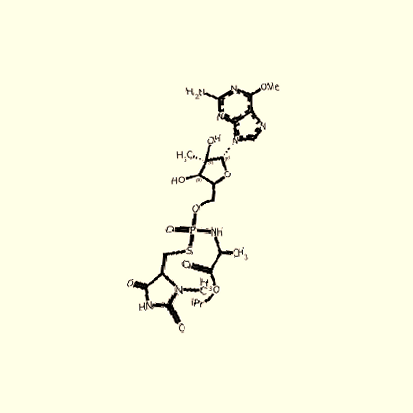 COc1nc(N)nc2c1ncn2[C@@H]1OC(COP(=O)(NC(C)C(=O)OC(C)C)SCC2C(=O)NC(=O)N2C)[C@@H](O)[C@@]1(C)O